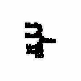 COCCOC(C)COCCC(COCCC(COCCC(COCC(COCCCO)OCCOC)OCCOC)OCCOC)OCCOC